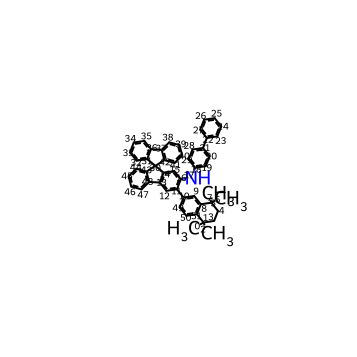 CC1(C)CCC(C)(C)c2cc(-c3cc4c(cc3Nc3ccc(-c5ccccc5)cc3)C3(c5ccccc5-c5ccccc53)c3ccccc3-4)ccc21